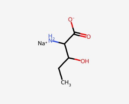 CCC(O)C(N)C(=O)[O-].[Na+]